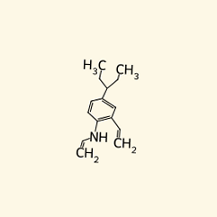 C=CNc1ccc(C(CC)CC)cc1C=C